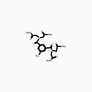 CNC(=O)CN(CC(=O)NC)C(=O)c1cc(C)cc(C(=O)N(CC(=O)NC)CC(=O)NC)c1